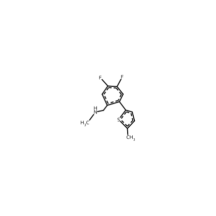 CNCc1cc(F)c(F)cc1-c1ccc(C)s1